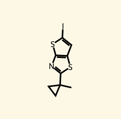 CC1(c2nc3sc(I)cc3s2)CC1